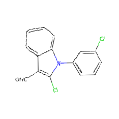 O=Cc1c(Cl)n(-c2cccc(Cl)c2)c2ccccc12